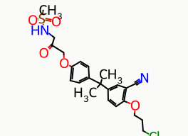 CC(C)(c1ccc(OCC(=O)CNS(C)(=O)=O)cc1)c1ccc(OCCCCl)c(C#N)c1